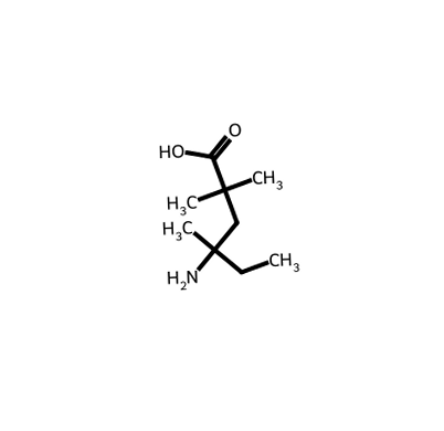 CCC(C)(N)CC(C)(C)C(=O)O